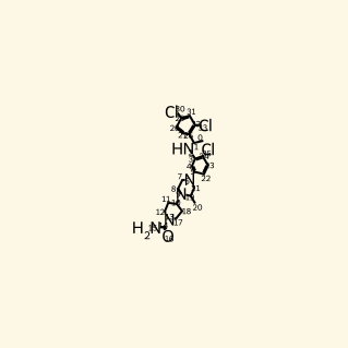 CC(Nc1cc(N2CCN(C3CCN(C(N)=O)CC3)C(C)C2)ccc1Cl)c1ccc(Cl)cc1Cl